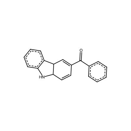 O=C(C1=CC2c3ccccc3NC2C=C1)c1ccccc1